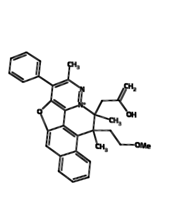 C=C(O)CC1(C)[n+]2nc(C)c(-c3ccccc3)c3oc4cc5ccccc5c(c4c32)C1(C)CCOC